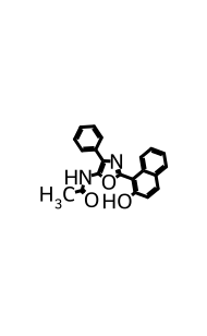 CC(=O)Nc1oc(-c2c(O)ccc3ccccc23)nc1-c1ccccc1